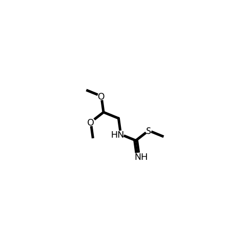 COC(CNC(=N)SC)OC